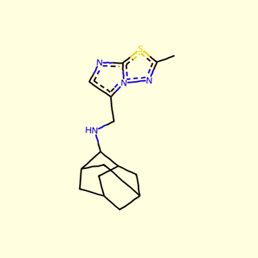 Cc1nn2c(CNC3C4CC5CC(C4)CC3C5)cnc2s1